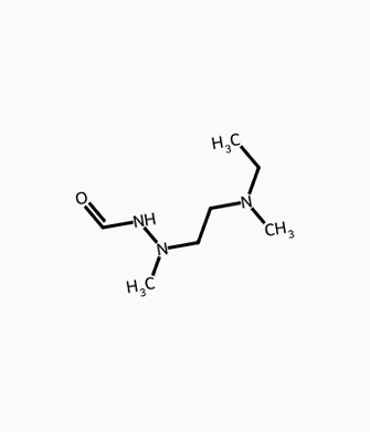 CCN(C)CCN(C)NC=O